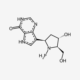 O=c1[nH]cnc2c([C@H]3C[C@H](O)[C@@H](CO)N3P)c[nH]c12